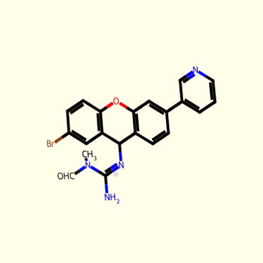 CN(C=O)/C(N)=N\C1c2ccc(-c3cccnc3)cc2Oc2ccc(Br)cc21